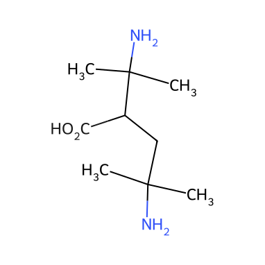 CC(C)(N)CC(C(=O)O)C(C)(C)N